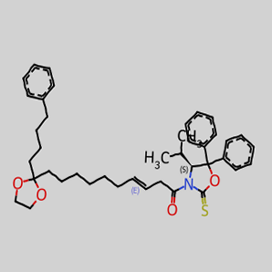 CC(C)[C@@H]1N(C(=O)C/C=C/CCCCCCC2(CCCCc3ccccc3)OCCO2)C(=S)OC1(c1ccccc1)c1ccccc1